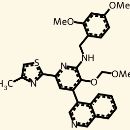 COCOc1c(-c2cncc3ccccc23)cc(-c2nc(C)cs2)nc1NCc1ccc(OC)cc1OC